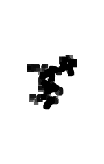 CC(=S)N(C1C(=O)N2CC(CSc3nnnn3C)(C(=O)O)CS[C@H]12)C(F)(F)F